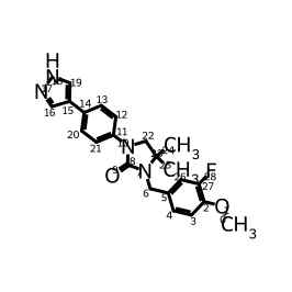 COc1ccc(CN2C(=O)N(c3ccc(-c4cn[nH]c4)cc3)CC2(C)C)cc1F